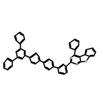 c1ccc(-c2cc(-c3ccccc3)cc(-c3ccc(-c4ccc(-c5cccc(-c6nc(-c7ccccc7)c7c(n6)oc6ccccc67)c5)cc4)cc3)c2)cc1